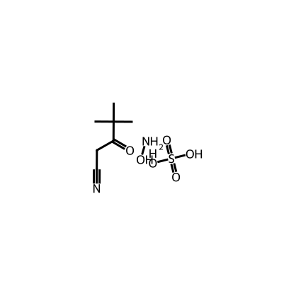 CC(C)(C)C(=O)CC#N.NO.O=S(=O)(O)O